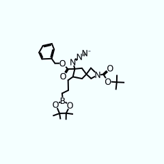 CC(C)(C)OC(=O)N1CC2(CC(CCCB3OC(C)(C)C(C)(C)O3)C(N=[N+]=[N-])(C(=O)OCc3ccccc3)C2)C1